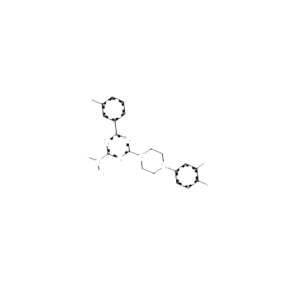 CCN(CC)c1nc(-c2cccc(C)c2)nc(N2CCN(c3ccc(Cl)c(Cl)c3)CC2)n1